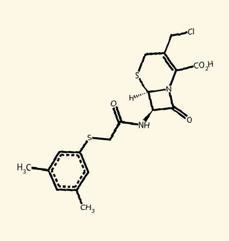 Cc1cc(C)cc(SCC(=O)N[C@@H]2C(=O)N3C(C(=O)O)=C(CCl)CS[C@H]23)c1